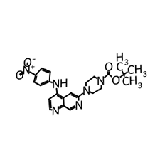 CC(C)(C)OC(=O)N1CCN(c2cc3c(Nc4ccc([N+](=O)[O-])cc4)ccnc3cn2)CC1